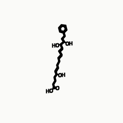 O=C(O)CCC[C@H](O)/C=C/CC/C=C/C=C/[C@H](O)[C@H](O)CCc1ccccc1